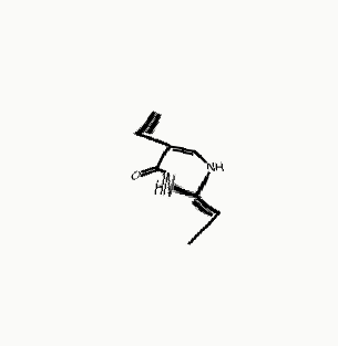 C=CC1=CNC(=CC)NC1=O